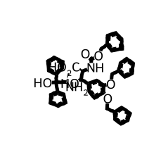 C[C@H](N)C(O)(c1ccccc1)c1ccccc1.O=C(N[C@H](C(=O)O)C(O)c1ccc(OCc2ccccc2)c(OCc2ccccc2)c1)OCc1ccccc1